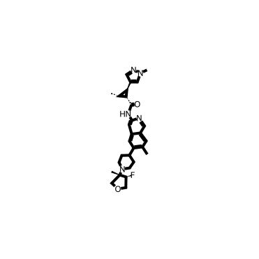 Cc1cc2cnc(NC(=O)[C@@H]3[C@H](C)[C@H]3c3cnn(C)c3)cc2cc1C1CCN([C@@]2(C)COC[C@H]2F)CC1